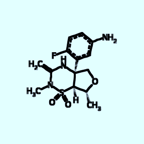 C=C1N[C@@]2(c3cc(N)ccc3F)CO[C@H](C)[C@H]2S(=O)(=O)N1C